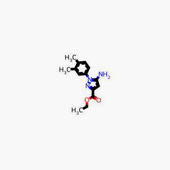 CCOC(=O)c1cc(N)n(-c2ccc(C)c(C)c2)n1